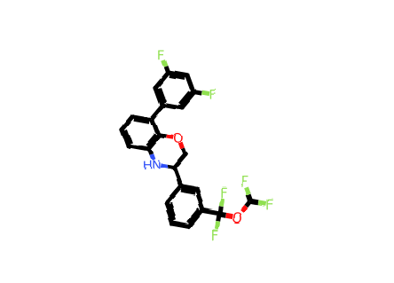 Fc1cc(F)cc(-c2cccc3c2OCC(c2cccc(C(F)(F)OC(F)F)c2)N3)c1